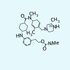 CNC(=O)OCCc1cccc(N[C@H]2CC[C@H](C(=O)N(C)C3C=C(C)C(CN4CCN[C@@H](C)C4)=CC3)CC2)c1